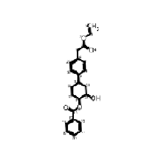 C=COC(=O)Cc1ccc(C2CCC(OC(=O)c3ccccc3)C(O)C2)cc1